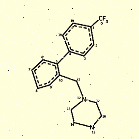 FC(F)(F)c1ccc(-c2ccccc2CN2CC[N]CC2)cc1